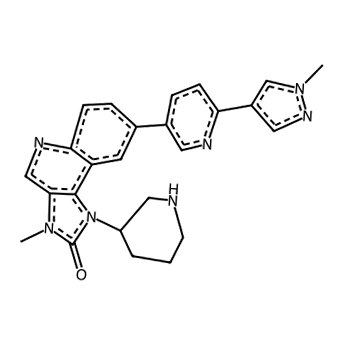 Cn1cc(-c2ccc(-c3ccc4ncc5c(c4c3)n(C3CCCNC3)c(=O)n5C)cn2)cn1